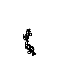 CC(C)(C)OC(=O)NCC(=CF)COc1cc2c(cn1)C(=O)N(C1CC1)CC2